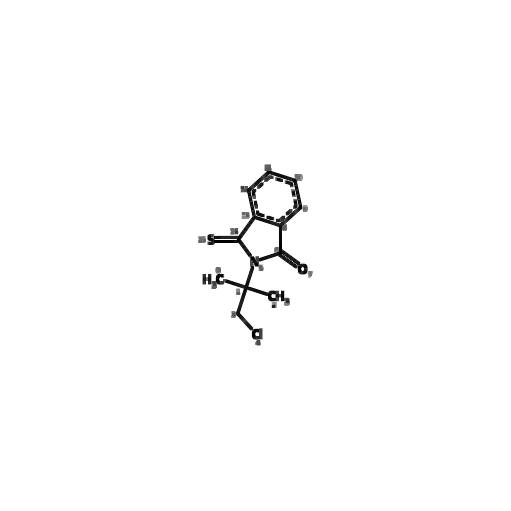 CC(C)(CCl)N1C(=O)c2ccccc2C1=S